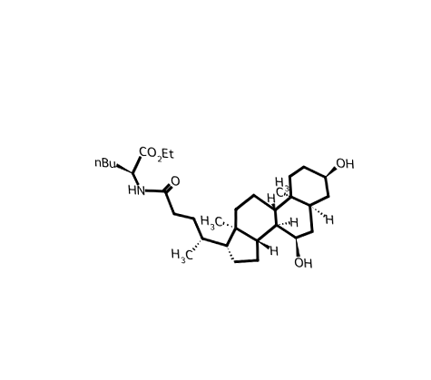 CCCC[C@H](NC(=O)CC[C@@H](C)[C@H]1CC[C@H]2[C@@H]3[C@H](O)C[C@@H]4C[C@H](O)CC[C@]4(C)[C@H]3CC[C@]12C)C(=O)OCC